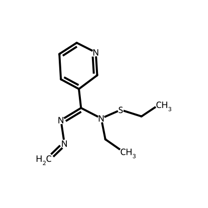 C=N/N=C(/c1cccnc1)N(CC)SCC